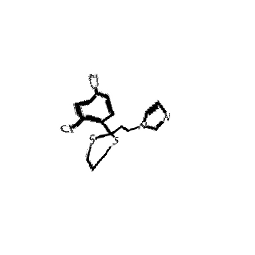 Clc1ccc(C2(CCn3ccnc3)SCCCS2)c(Cl)c1